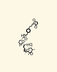 C/C(=C\C=C\[C@@H](C)C[C@@]1(C)O[C@@H]1[C@H](C)[C@@H](CO)[C@@H](C)O)[C@H]1O[C@@H](CC(=O)NCc2ccc(CCCN3C(=O)C=CC3=O)cc2)CCN1C